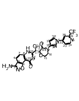 Nc1noc2c1ccc1[nH]c(C(O)[C@H]3OCCN(c4ccn(-c5ccnc(C(F)(F)F)c5)n4)C3=O)nc(=O)c12